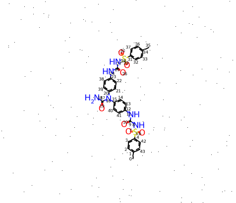 Cc1ccc(S(=O)(=O)NC(=O)Nc2ccc(N(C(N)=O)c3ccc(NC(=O)NS(=O)(=O)c4ccc(C)cc4)cc3)cc2)cc1